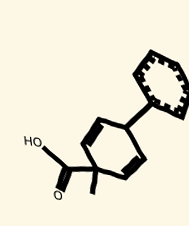 CC1(C(=O)O)C=CC(c2ccccc2)C=C1